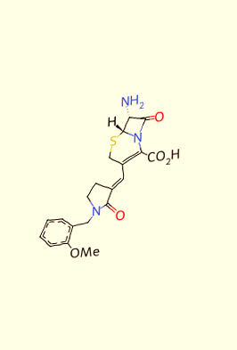 COc1ccccc1CN1CCC(=CC2=C(C(=O)O)N3C(=O)[C@@H](N)[C@H]3SC2)C1=O